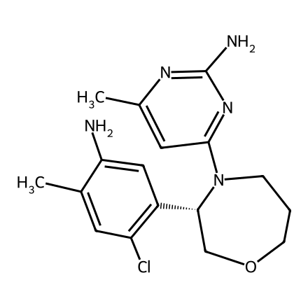 Cc1cc(N2CCCOC[C@@H]2c2cc(N)c(C)cc2Cl)nc(N)n1